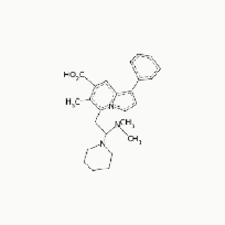 Cc1c(C(=O)O)cc2c(-c3ccccc3)ccn2c1CC(N(C)C)N1CCCCC1